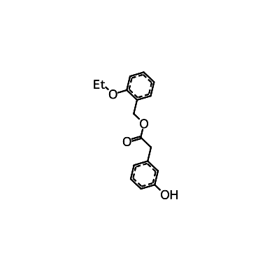 CCOc1ccccc1COC(=O)Cc1cccc(O)c1